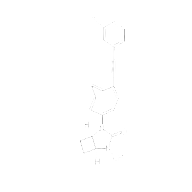 CN1C(=O)N(C2=C/C=C(C#Cc3cccc(F)c3)\C=C\C=C\2)[C@@H]2CC[C@@H]21